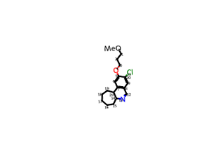 COCCCOc1cc2c(cc1Cl)C=NC1CCCCCC21